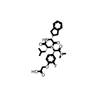 CC(C)C[C@@H]1C(=O)N[C@H](C2Cc3ccccc3C2)C(=O)N1[C@@H](C(=O)N(C)C)c1ccc(OCC(=O)O)c(F)c1